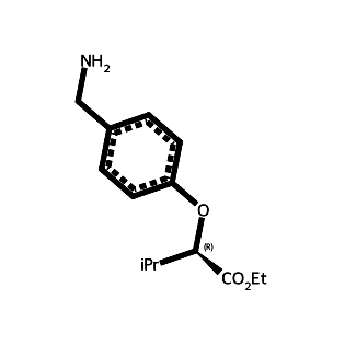 CCOC(=O)[C@H](Oc1ccc(CN)cc1)C(C)C